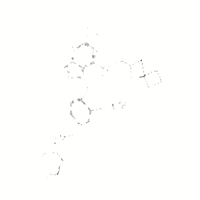 COc1cc(CNC2CCOCC2)ccc1Cn1ncc2nc(N)nc(NCC3CC4(CCC4)C3)c21